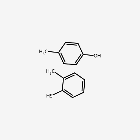 Cc1ccc(O)cc1.Cc1ccccc1S